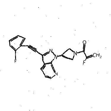 C=C(F)C(=O)N1CC(n2nc(C#Cc3ccccc3F)c3cccnc32)C1